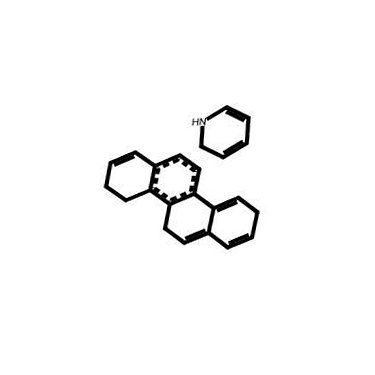 C1=CC2=CCc3c(ccc4c3CCC=C4)C2=CC1.C1=CCNC=C1